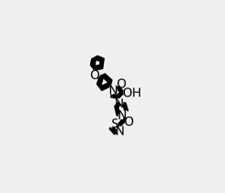 O=C(c1nccs1)N1CCN(C2CN(c3ccc(Oc4ccccc4)cc3)C(=O)C2O)CC1